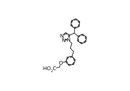 O=C(O)COc1cccc(CCCn2nncc2C(c2ccccc2)c2ccccc2)c1